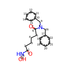 O=C(CCCCC(=O)N(Cc1ccccc1)Cc1ccccc1)NO